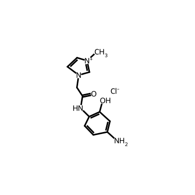 C[n+]1ccn(CC(=O)Nc2ccc(N)cc2O)c1.[Cl-]